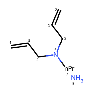 C=CCN(CC=C)CCC.N